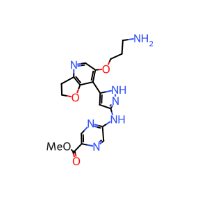 COC(=O)c1cnc(Nc2cc(-c3c(OCCCN)cnc4c3OCC4)[nH]n2)cn1